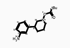 CC(C)(C)C(=O)ON1CCCC(c2cccc(N)c2)C1